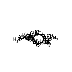 CCn1c(-c2cccnc2COC)c2c3cc(ccc31)-c1cc(C)cc(c1)C[C@H](NC(=O)[C@H](C(C)C)N(C)C(=O)C1(O)CCN(C(=O)C#CCN(C)C)C1)C(=O)N1CCC[C@H](N1)C(=O)OCC(C)(C)C2